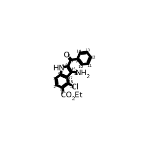 CCOC(=O)c1ccc2[nH]c(C(=O)c3ccccc3)c(N)c2c1Cl